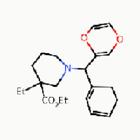 CCOC(=O)C1(CC)CCCN(C(C2=CC=CCC2)C2=COC=CO2)C1